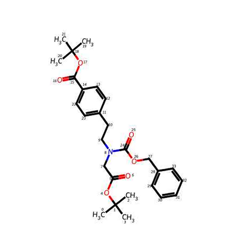 CC(C)(C)OC(=O)CN(CCc1ccc(C(=O)OC(C)(C)C)cc1)C(=O)OCc1ccccc1